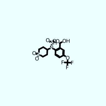 O=C(O)c1cc(OC(F)(F)F)ccc1N(C1CCS(=O)(=O)CC1)[SH](=O)=O